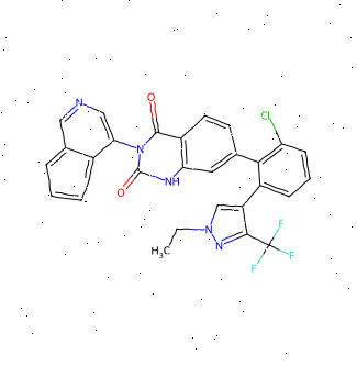 CCn1cc(-c2cccc(Cl)c2-c2ccc3c(=O)n(-c4cncc5ccccc45)c(=O)[nH]c3c2)c(C(F)(F)F)n1